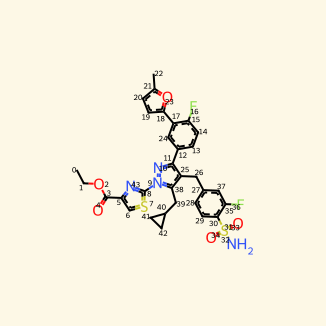 CCOC(=O)c1csc(-n2nc(-c3ccc(F)c(-c4ccc(C)o4)c3)c(Cc3ccc(S(N)(=O)=O)c(F)c3)c2CC2CC2)n1